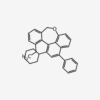 CCc1cccc2c1-c1c(C3CCCCC3)cc(-c3ccccc3)c3cccc(c13)OC2